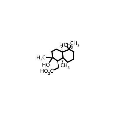 CC1(C)CCC[C@@]2(C)[C@@H](CC(=O)O)[C@](C)(O)CC[C@@H]12